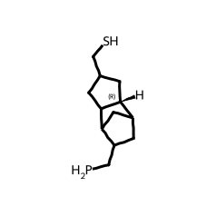 PCC1CC2CC1C1CC(CS)C[C@H]21